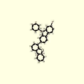 Ic1ccc2c3ccc(-c4cccc5c4oc4ccccc45)cc3n(-c3ccccc3)c2c1